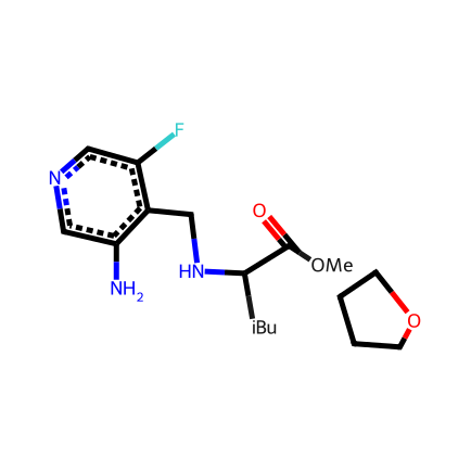 C1CCOC1.CCC(C)C(NCc1c(N)cncc1F)C(=O)OC